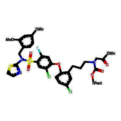 CCCCCOC(=O)N(CCCc1cc(Cl)ccc1Oc1cc(F)c(S(=O)(=O)N(Cc2ccc(OC)cc2OC)c2nccs2)cc1Cl)CC(=O)OC